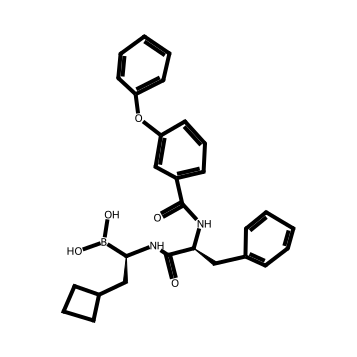 O=C(N[C@@H](Cc1ccccc1)C(=O)N[C@@H](CC1CCC1)B(O)O)c1cccc(Oc2ccccc2)c1